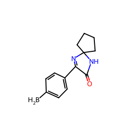 Bc1ccc(C2=NC3(CCCC3)NC2=O)cc1